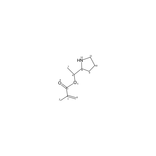 C=C(C)C(=O)OC(C)C1CCCN1